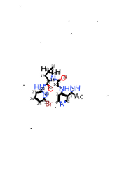 CC(=O)C(=N)c1cnccc1NCC(=O)N1[C@@H]2C[C@@H]2C[C@H]1C(=O)Nc1cccc(Br)n1